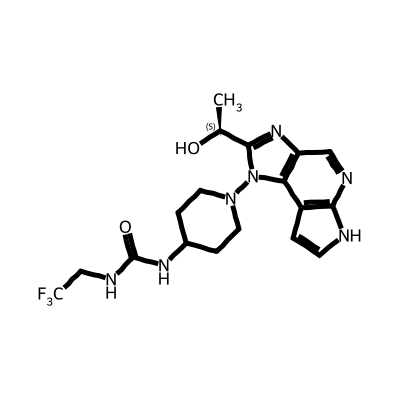 C[C@H](O)c1nc2cnc3[nH]ccc3c2n1N1CCC(NC(=O)NCC(F)(F)F)CC1